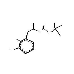 CC(Cc1cccc(Br)c1F)NC(=O)OC(C)(C)C